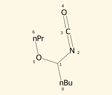 CCCCC(N=C=O)OCCC